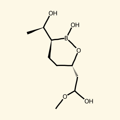 COC(O)C[C@@H]1CC[C@@H]([C@@H](C)O)B(O)O1